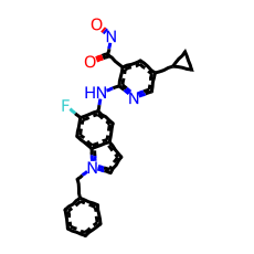 O=NC(=O)c1cc(C2CC2)cnc1Nc1cc2ccn(Cc3ccccc3)c2cc1F